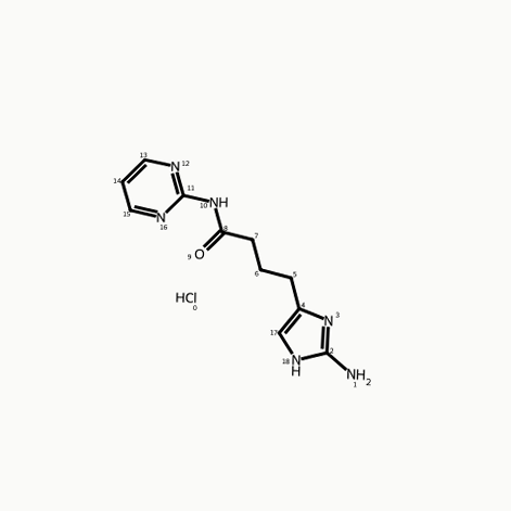 Cl.Nc1nc(CCCC(=O)Nc2ncccn2)c[nH]1